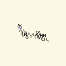 CC(=O)/C=C/CN1CCN(C(=O)CCCCC2SCC3NC(C)NC32)CC1